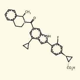 C[C@@H]1c2ccccc2CCN1C(=O)c1cc(C2CC2)c2cc(-c3ccc([C@H]4C[C@@H]4C(=O)O)cc3F)[nH]c2c1